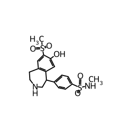 CNS(=O)(=O)c1ccc(C2CNCCc3cc(S(C)(=O)=O)c(O)cc32)cc1